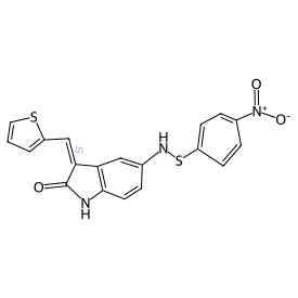 O=C1Nc2ccc(NSc3ccc([N+](=O)[O-])cc3)cc2/C1=C/c1cccs1